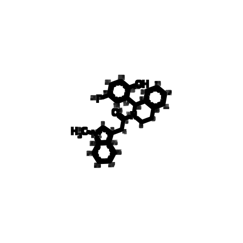 Cn1cc(CC(=O)N2CCc3ccccc3C2c2cc(F)ccc2O)c2ccccc21